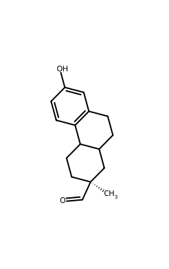 C[C@]1(C=O)CCC2c3ccc(O)cc3CCC2C1